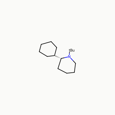 CC(C)(C)N1CCCC[C@@H]1C1CCCCC1